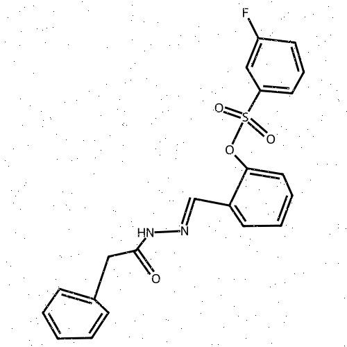 O=C(Cc1ccccc1)N/N=C/c1ccccc1OS(=O)(=O)c1cccc(F)c1